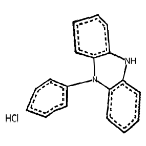 Cl.c1ccc(N2c3ccccc3Nc3ccccc32)cc1